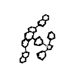 c1ccc(-c2ccc(-c3ccccc3)n2-c2ccc(-c3c4cc(-c5ccc6ccccc6c5)ccc4cc4ccc(-c5ccc6ccccc6c5)cc34)cc2)cc1